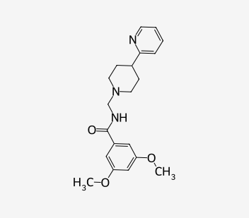 COc1cc(OC)cc(C(=O)NCN2CCC(c3ccccn3)CC2)c1